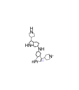 CCC/C=C(\c1cc(Nc2ccc3c(C4CCNCC4)c[nH]c3c2)ccc1C)C1CCN(C)CC1